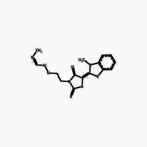 C/N=C\OOCCN1C(=O)/C(=C2/Sc3ccccc3N2C)SC1=S